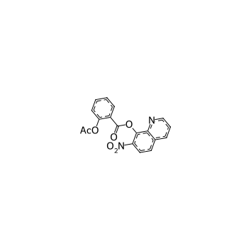 CC(=O)Oc1ccccc1C(=O)Oc1c([N+](=O)[O-])ccc2cccnc12